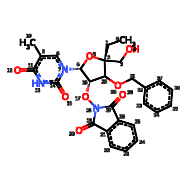 CC[C@]1(CO)O[C@@H](n2cc(C)c(=O)[nH]c2=O)[C@@H](ON2C(=O)c3ccccc3C2=O)C1OCc1ccccc1